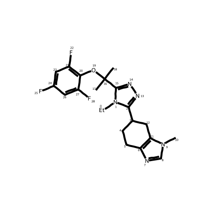 CCn1c(C2CCc3ncn(C)c3C2)nnc1C(C)(C)Oc1c(F)cc(F)cc1F